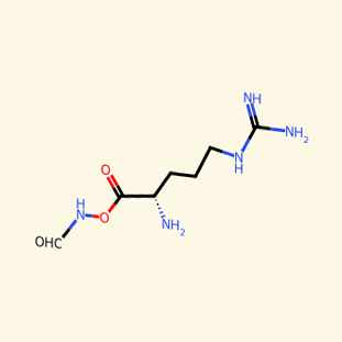 N=C(N)NCCC[C@H](N)C(=O)ONC=O